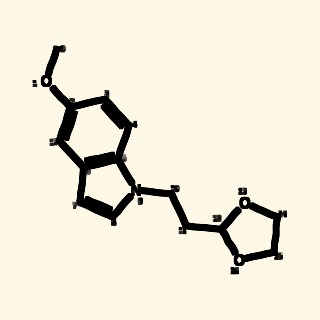 COc1ccc2c(ccn2CCC2OCCO2)c1